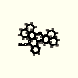 COC(=O)c1ccccc1C1=c2cc3c4c(c2Oc2c1cc1c5c2CCCN5CCC1)CCC[N+]=4CCC3